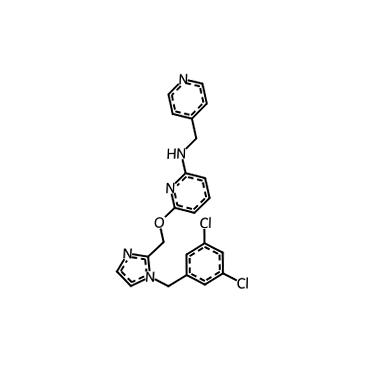 Clc1cc(Cl)cc(Cn2ccnc2COc2cccc(NCc3ccncc3)n2)c1